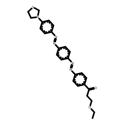 CCOCCC(=O)c1ccc(N=Nc2ccc(N=Nc3ccc(N4CCSC4)cc3)cc2)cc1